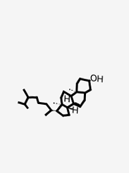 CC(C)C(C)CCCC(C)[C@H]1CC[C@H]2C3=CCC4C[C@@H](O)CC[C@]4(C)[C@H]3CC[C@]12C